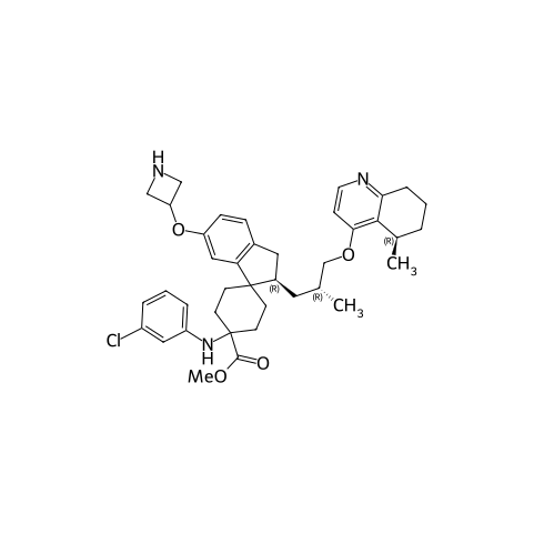 COC(=O)C1(Nc2cccc(Cl)c2)CCC2(CC1)c1cc(OC3CNC3)ccc1C[C@H]2C[C@@H](C)COc1ccnc2c1[C@H](C)CCC2